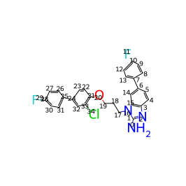 Nc1nc2ccc(-c3ccc(F)cc3)cc2n1CCCOc1ccc(-c2ccc(F)cc2)cc1Cl